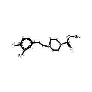 CC(C)(C)OC(=O)N1CCN(CCc2ccc(Cl)c(Br)c2)CC1